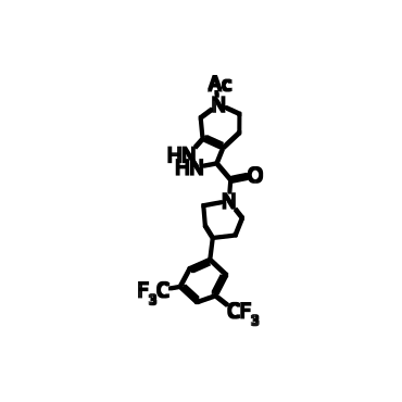 CC(=O)N1CCC2=C(C1)NNC2C(=O)N1CCC(c2cc(C(F)(F)F)cc(C(F)(F)F)c2)CC1